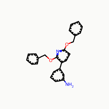 Nc1cccc(-c2ccc(OCc3ccccc3)nc2OCc2ccccc2)c1